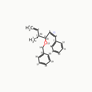 C=C[C@H](C)[C@@H](/C=C\c1ccccc1)OCc1ccccc1